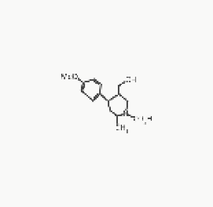 COc1ccc(C2CC(C)N(C(=O)O)CC2CO)cc1